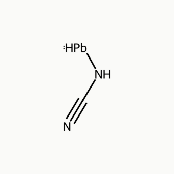 N#C[NH][PbH]